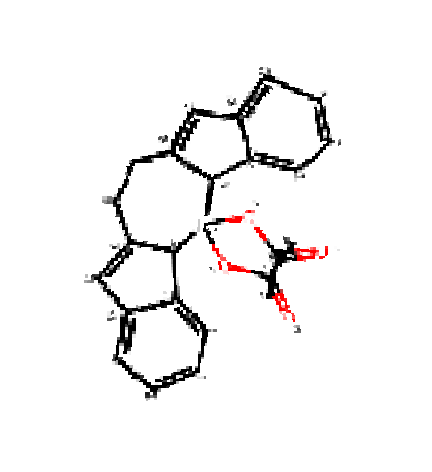 CC(=O)[O][Ti]1([O]C(C)=O)[CH]2C(=Cc3ccccc32)CCC2=Cc3ccccc3[CH]21